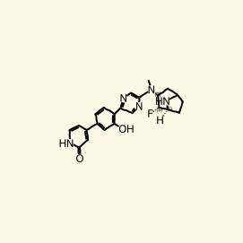 CN(c1cnc(-c2ccc(-c3cc[nH]c(=O)c3)cc2O)cn1)[C@@H]1CC2CC[C@H](N2)[C@@H]1F